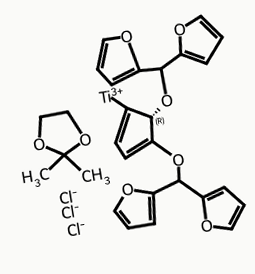 CC1(C)OCCO1.[Cl-].[Cl-].[Cl-].[Ti+3][C]1=CC=C(OC(c2ccco2)c2ccco2)[C@H]1OC(c1ccco1)c1ccco1